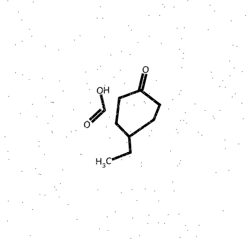 CCC1CCC(=O)CC1.O=CO